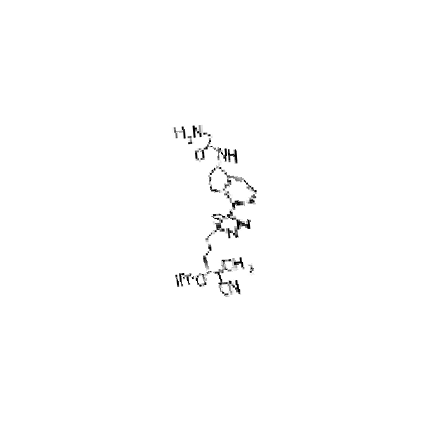 C=C(C#N)/C(=C\C=C\c1nnc(-c2cccc3c2CC[C@@H]3NC(=O)CN)s1)OC(C)C